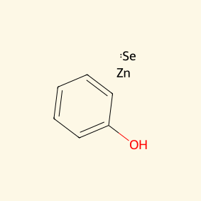 Oc1ccccc1.[Se].[Zn]